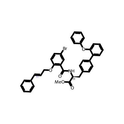 COC(=O)[C@H](Cc1ccc(-c2ccccc2Oc2ccccc2)cc1)NC(=O)c1cc(Br)ccc1OC/C=C/c1ccccc1